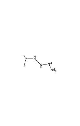 CN(C)NNNN